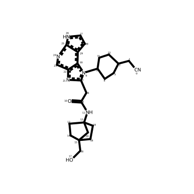 N#CCC1CCC(n2c(CC(=O)NC34CCC(CO)(CC3)C4)nc3cnc4[nH]ccc4c32)CC1